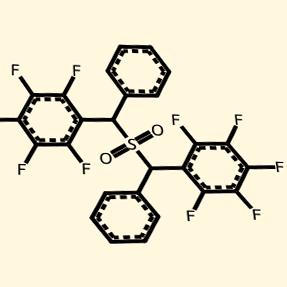 O=S(=O)(C(c1ccccc1)c1c(F)c(F)c(F)c(F)c1F)C(c1ccccc1)c1c(F)c(F)c(F)c(F)c1F